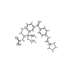 CCC1(N)c2cc(C(=O)c3ccc(C=NN4CCCC4)cc3)ccc2CCC1CC(=O)O